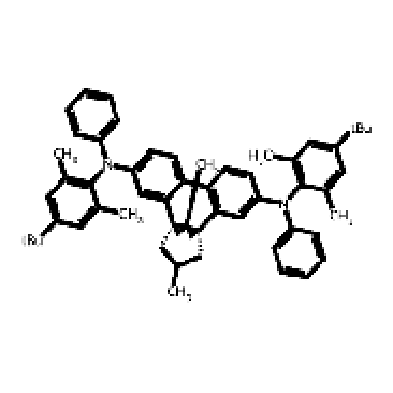 Cc1cc(C(C)(C)C)cc(C)c1N(c1ccccc1)c1ccc2c(c1)[C@]13CC(C)C[C@]1(CC(C)C3)c1cc(N(c3ccccc3)c3c(C)cc(C(C)(C)C)cc3C)ccc1-2